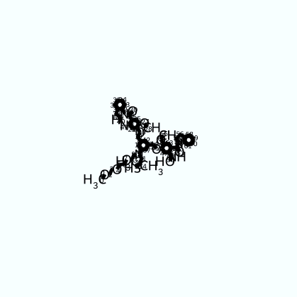 COCCOCCOCCN(CC(C)(C)S)c1cc(COc2cc3c(cc2OC)C(=O)N2c4ccccc4C[C@H]2C=N3)cc(COc2cc(NO)c(C(=O)N3CCc4ccccc43)cc2OC)c1